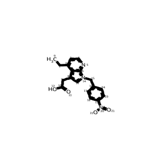 CCc1ccnc2c1c(CC(=O)O)cn2Cc1ccc([N+](=O)[O-])cc1